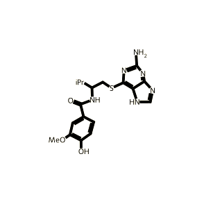 COc1cc(C(=O)NC(CSc2nc(N)nc3nc[nH]c23)C(C)C)ccc1O